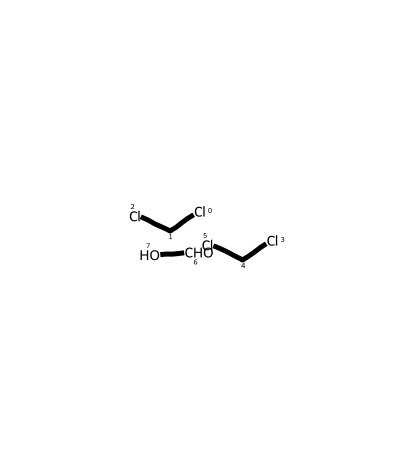 ClCCl.ClCCl.O=CO